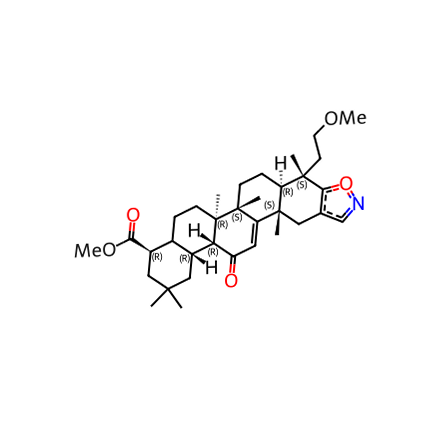 COCC[C@]1(C)c2oncc2C[C@]2(C)C3=CC(=O)[C@@H]4[C@@H]5CC(C)(C)C[C@@H](C(=O)OC)C5CC[C@@]4(C)[C@]3(C)CC[C@H]21